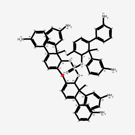 CC1=CC=C(c2cccc(N)c2)C(C)(c2cccc(N)c2)C1OP(=O)(OC1C(C)=CC=C(c2cccc(N)c2)C1(C)c1cccc(N)c1)OC1C(C)=CC=C(c2cccc(N)c2)C1(C)c1cccc(N)c1